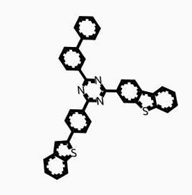 c1ccc(-c2cccc(-c3nc(-c4ccc(-c5cc6ccccc6s5)cc4)nc(-c4ccc5c(c4)sc4ccccc45)n3)c2)cc1